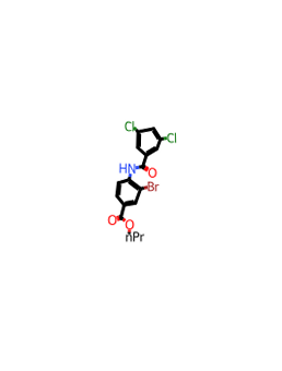 CCCOC(=O)c1ccc(NC(=O)c2cc(Cl)cc(Cl)c2)c(Br)c1